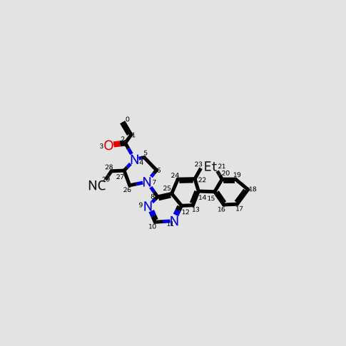 C=CC(=O)N1CCN(c2ncnc3cc(-c4ccccc4CC)c(C)cc23)CC1CC#N